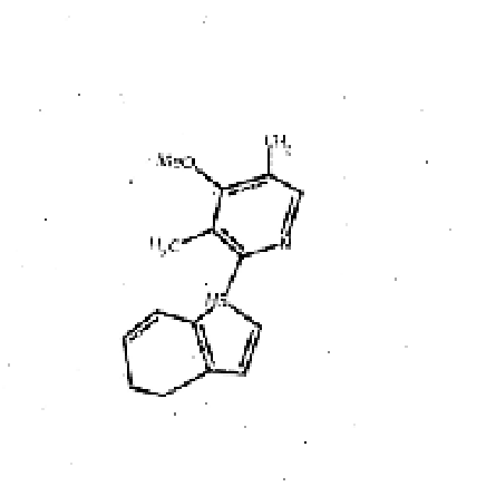 COc1c(C)cnc([SH]2C=CC3=C2C=CCC3)c1C